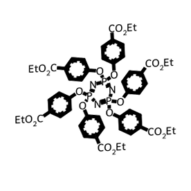 CCOC(=O)c1ccc(OP2(Oc3ccc(C(=O)OCC)cc3)=NP(Oc3ccc(C(=O)OCC)cc3)(Oc3ccc(C(=O)OCC)cc3)=NP(Oc3ccc(C(=O)OCC)cc3)(Oc3ccc(C(=O)OCC)cc3)=N2)cc1